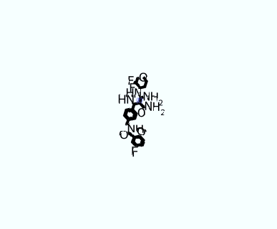 COc1ccc(F)cc1C(=O)NCc1ccc(C(=N)/C(C(N)=O)=C(/N)NC2CCOCC2(F)F)cc1